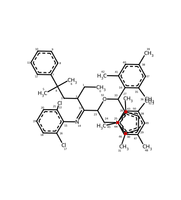 CCC(CC(C)(C)c1ccccc1)/C(=N\c1c(Cl)cccc1Cl)C(Cn1c(C)ccc1C)OC(c1c(C)cc(C)cc1C)c1c(C)cc(C)cc1C